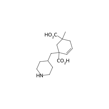 CC1(C(=O)O)CC=CC(CC2CCNCC2)(C(=O)O)C1